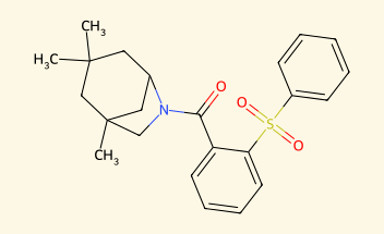 CC1(C)CC2CC(C)(CN2C(=O)c2ccccc2S(=O)(=O)c2ccccc2)C1